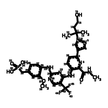 CNC(=O)c1nc(-c2cnn(C(C)(C)CCO)c2)ccc1Nc1nc(Nc2ccc(CP(=O)(O)O)cc2OC)ncc1C(F)(F)F